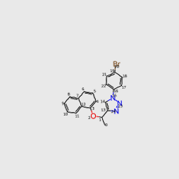 CC(Oc1cccc2ccccc12)c1cn(-c2ccc(Br)cc2)nn1